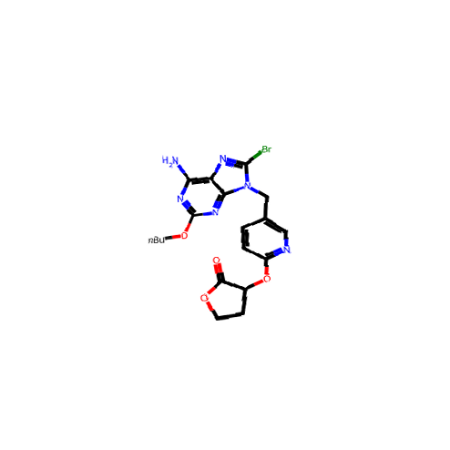 CCCCOc1nc(N)c2nc(Br)n(Cc3ccc(OC4CCOC4=O)nc3)c2n1